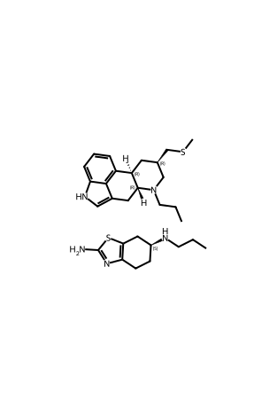 CCCN1C[C@H](CSC)C[C@@H]2c3cccc4[nH]cc(c34)C[C@H]21.CCCN[C@H]1CCc2nc(N)sc2C1